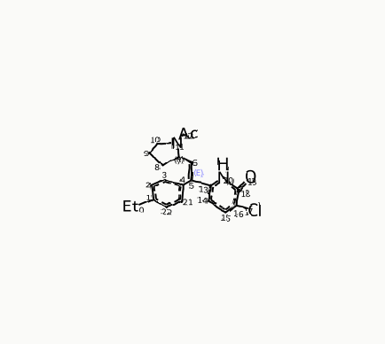 CCc1ccc(/C(=C\[C@H]2CCCN2C(C)=O)c2ccc(Cl)c(=O)[nH]2)cc1